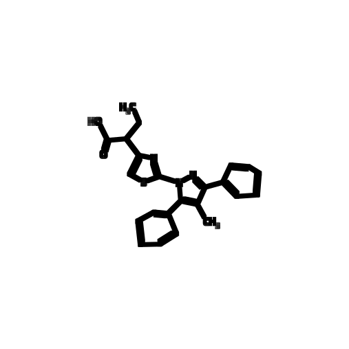 CCC(C(=O)O)c1csc(-n2nc(-c3ccccc3)c(C)c2-c2ccccc2)n1